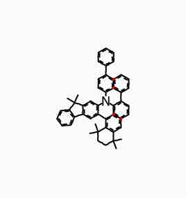 Cc1ccc2c(c1-c1cc3c(cc1N(c1ccc(-c4ccccc4)cc1)c1ccccc1-c1ccccc1)C(C)(C)c1ccccc1-3)C(C)(C)CCC2(C)C